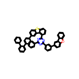 c1ccc(-c2nc(-c3cccc(-c4ccc5oc6ccccc6c5c4)c3)nc(-c3cccc4sc5ccc(-c6ccc(-c7ccccc7-c7ccccc7)cc6)cc5c34)n2)cc1